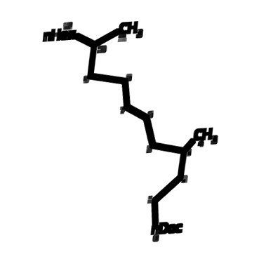 CCCCCCCCCCCCC(C)CCCCCC(C)CCCCCC